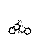 Oc1ccccc1Nc1cc(C(F)(F)F)nc2ccccc12